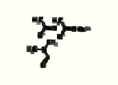 CC(=O)[O-].CC(=O)[O-].CN(C)C=O.[Cu+2]